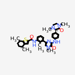 Cc1c(NC(=O)c2cc3c(s2)[C@@H](C)CC[C@H]3C)cccc1-c1cn(C)c(=O)c(Nc2ccc([C@@H]3C(=O)N(C)CCN3C)cc2)n1